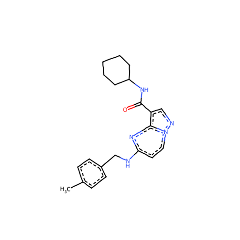 Cc1ccc(CNc2ccn3ncc(C(=O)NC4CCCCC4)c3n2)cc1